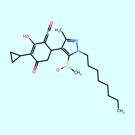 CCCCCCCCn1nc(C)c(C2CC(=O)C(C3CC3)=C(O)C2=C=O)c1[S+](C)[O-]